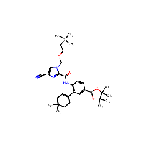 CC1(C)CC=C(c2cc(B3OC(C)(C)C(C)(C)O3)ccc2NC(=O)c2nc(C#N)cn2COCC[Si](C)(C)C)CC1